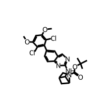 COc1cc(OC)c(Cl)c(-c2ccc3nc(NC4C5CC4N(C(=O)OC(C)(C)C)C5)ncc3c2)c1Cl